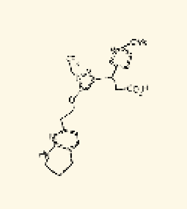 COc1ccc(C(CC(=O)O)c2cc(OCCc3ccc4c(n3)NCCC4)n(CC(F)(F)F)n2)cn1